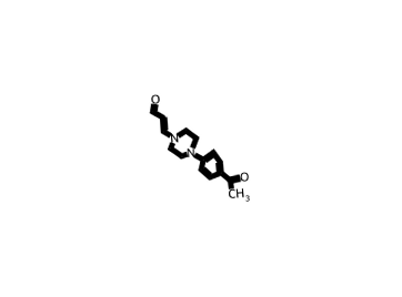 CC(=O)c1ccc(N2CCN(C=CC=O)CC2)cc1